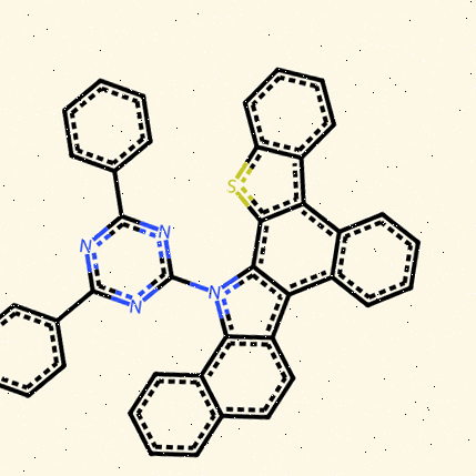 c1ccc(-c2nc(-c3ccccc3)nc(-n3c4c5ccccc5ccc4c4c5ccccc5c5c6ccccc6sc5c43)n2)cc1